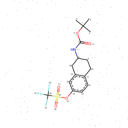 CC(C)(C)OC(=O)NC1CCc2ccc(OS(=O)(=O)C(F)(F)F)cc2C1